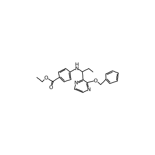 CCOC(=O)c1ccc(NC(CC)c2nccnc2OCc2ccccc2)cc1